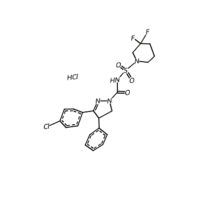 Cl.O=C(NS(=O)(=O)N1CCCC(F)(F)C1)N1CC(c2ccccc2)C(c2ccc(Cl)cc2)=N1